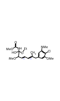 CCOC(O)(NC(=O)OC)C(/C=C/C=C(\C)Cc1cc(NC)c(Cl)c(OC)c1)OC